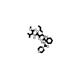 CCCC[C@H](NC(=O)C1(NC(=O)N2CCOCC2)CCCCC1)C(=O)C(=O)N[C@@H](C(=O)OC)C(C)C